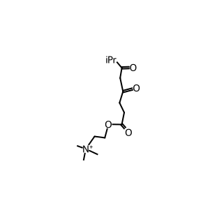 CC(C)C(=O)CC(=O)CCC(=O)OCC[N+](C)(C)C